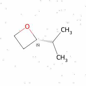 CC(C)[C@@H]1CCO1